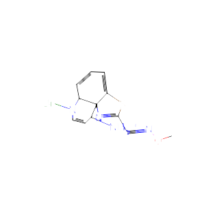 CO/N=C/C1=NC23C(=CC=CC2N(Br)C=CC3N)S1